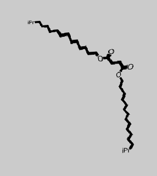 CC(C)CCCCCCCCCCCCCOC(=O)CCC(=O)OCCCCCCCCCCCCCC(C)C